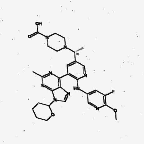 COc1ncc(Nc2ncc([C@@H](C)N3CCN(C(=O)O)CC3)cc2-c2nc(C)nc3c2ncn3C2CCCCO2)cc1F